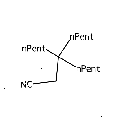 CCCCCC(CC#N)(CCCCC)CCCCC